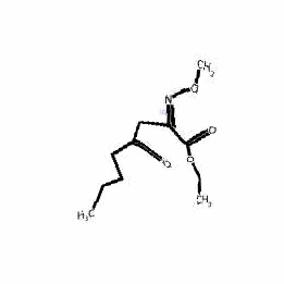 CCCCC(=O)C/C(=N/OC)C(=O)OCC